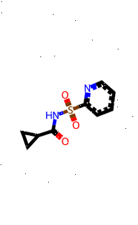 O=C(NS(=O)(=O)c1ccccn1)C1CC1